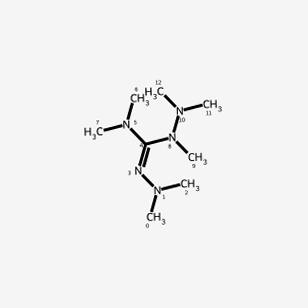 CN(C)/N=C(/N(C)C)N(C)N(C)C